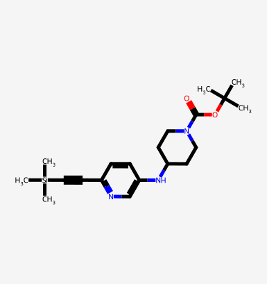 CC(C)(C)OC(=O)N1CCC(Nc2ccc(C#C[Si](C)(C)C)nc2)CC1